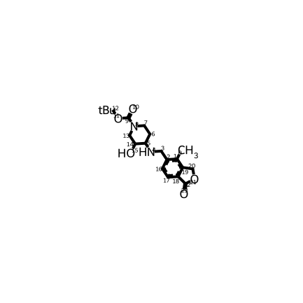 Cc1c(CNC2CCN(C(=O)OC(C)(C)C)CC2O)ccc2c1COC2=O